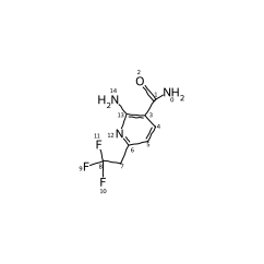 NC(=O)c1ccc(CC(F)(F)F)nc1N